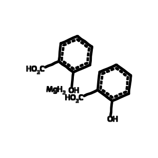 O=C(O)c1ccccc1O.O=C(O)c1ccccc1O.[MgH2]